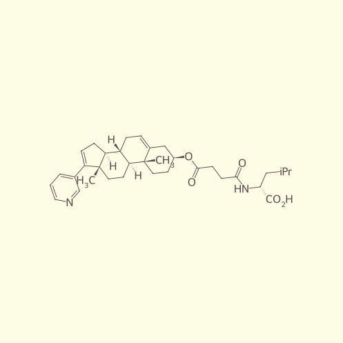 CC(C)C[C@@H](NC(=O)CCC(=O)O[C@H]1CC[C@@]2(C)C(=CC[C@@H]3[C@@H]2CC[C@]2(C)C(c4cccnc4)=CC[C@@H]32)C1)C(=O)O